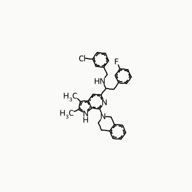 Cc1[nH]c2c(N3CCc4ccccc4C3)nc(C(Cc3cccc(F)c3)NCc3cccc(Cl)c3)cc2c1C